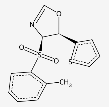 Cc1ccccc1S(=O)(=O)[C@H]1N=CO[C@H]1c1cccs1